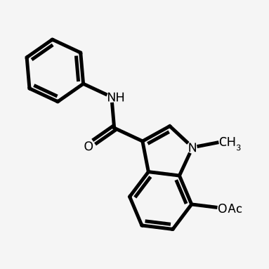 CC(=O)Oc1cccc2c(C(=O)Nc3ccccc3)cn(C)c12